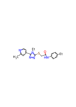 CCc1ccc(NC(=O)CSc2nnc(-c3ccnc(C)c3)n2CC)cc1